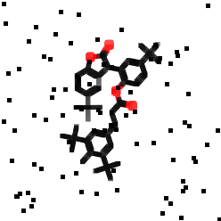 Cc1c(C(C)(C)C)cc(CCC(=O)Oc2ccc(C(C)(C)C)cc2C2C(=O)Oc3ccc(C(C)(C)C)cc32)cc1C(C)(C)C